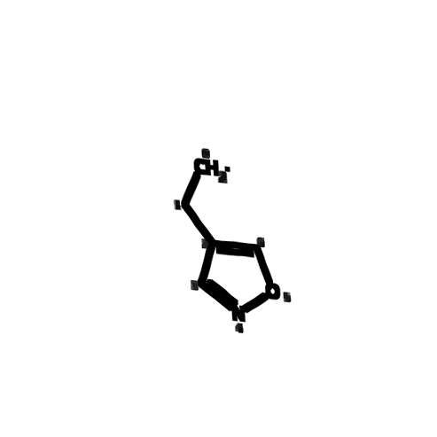 [CH2]Cc1cnoc1